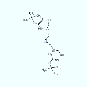 CC(C)(C)OC(=O)N[C@H](CO)C/C=C\C[C@@H](CO)NC(=O)OC(C)(C)C